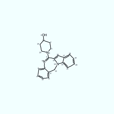 OC1CCN(C2=Nc3ccccc3Cn3c2cc2ccccc23)CC1